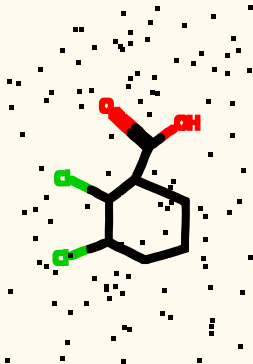 O=C(O)C1CCCC(Cl)C1Cl